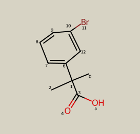 CC(C)(C(=O)O)c1cccc(Br)c1